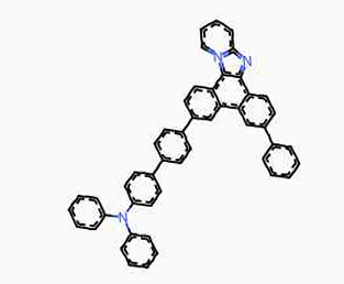 c1ccc(-c2ccc3c(c2)c2cc(-c4ccc(-c5ccc(N(c6ccccc6)c6ccccc6)cc5)cc4)ccc2c2c3nc3ccccn32)cc1